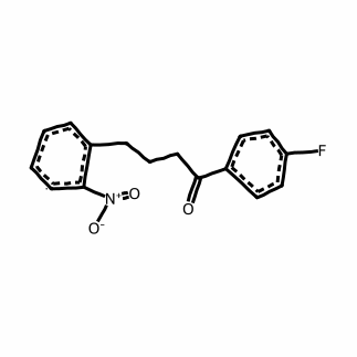 O=C(CCCc1ccc[c]c1[N+](=O)[O-])c1ccc(F)cc1